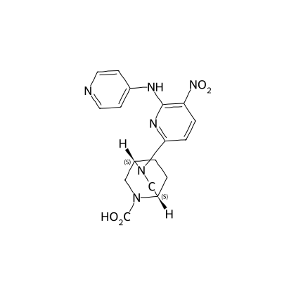 O=C(O)N1C[C@@H]2CC[C@H]1CN2c1ccc([N+](=O)[O-])c(Nc2ccncc2)n1